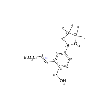 CCOC(=O)/C=C/c1cc(B2OC(C)(C)C(C)(C)O2)ccc1CO